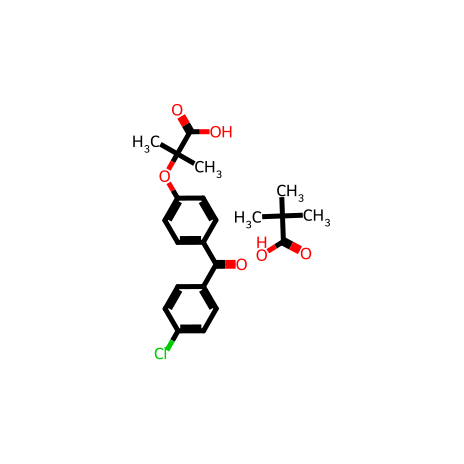 CC(C)(C)C(=O)O.CC(C)(Oc1ccc(C(=O)c2ccc(Cl)cc2)cc1)C(=O)O